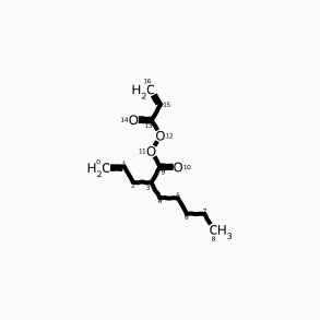 C=CCC(CCCCC)C(=O)OOC(=O)C=C